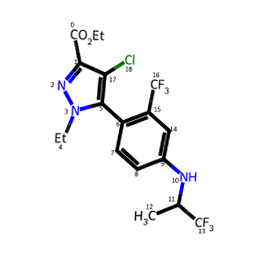 CCOC(=O)c1nn(CC)c(-c2ccc(NC(C)C(F)(F)F)cc2C(F)(F)F)c1Cl